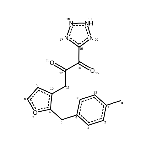 Cc1ccc(Cc2occc2CC(=O)C(=O)c2nn[nH]n2)cc1